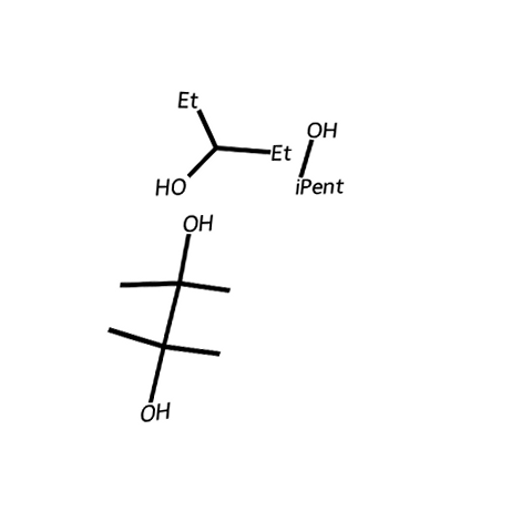 CC(C)(O)C(C)(C)O.CCC(O)CC.CCCC(C)O